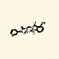 CC(C)c1cccc2c1C(=O)N(Cn1nnn(-c3cccnc3)c1=S)S2(=O)=O